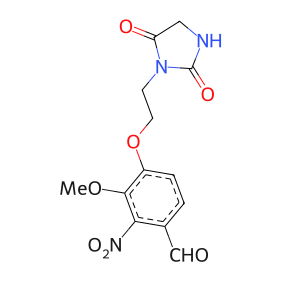 COc1c(OCCN2C(=O)CNC2=O)ccc(C=O)c1[N+](=O)[O-]